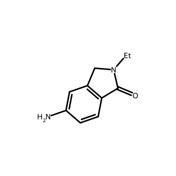 CCN1Cc2cc(N)ccc2C1=O